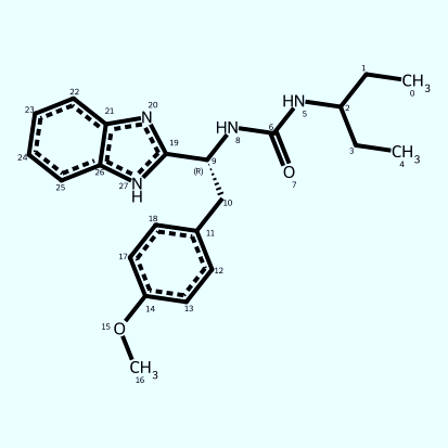 CCC(CC)NC(=O)N[C@H](Cc1ccc(OC)cc1)c1nc2ccccc2[nH]1